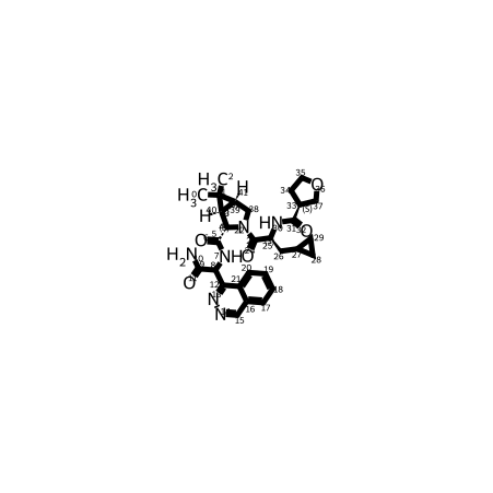 CC1(C)[C@@H]2[C@@H](C(=O)NC(C(N)=O)c3nncc4ccccc34)N(C(=O)[C@H](CC3CC3)NC(=O)[C@H]3CCOC3)C[C@@H]21